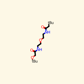 CC(C)(C)CC(=O)NCCOCCNC(=O)COC(C)(C)C